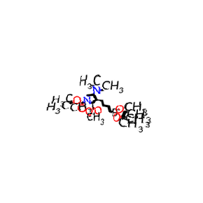 CCN(CC)[C@H]1CN(C(=O)OC(C)(C)C)[C@H](C(=O)OC)[C@@H]1CCCCB1OC(C)(C)C(C)(C)O1